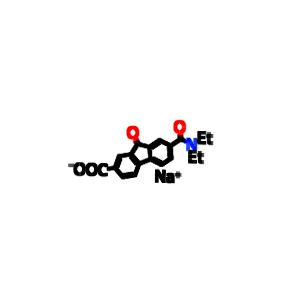 CCN(CC)C(=O)c1ccc2c(c1)C(=O)c1cc(C(=O)[O-])ccc1-2.[Na+]